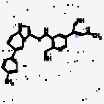 CN/C=C(\C=N)c1cnc(C=N)c(NSc2cnc3ccc(-c4ccc(C)cc4)cn23)c1